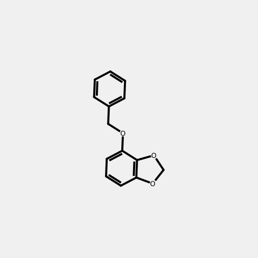 c1ccc(COc2cccc3c2OCO3)cc1